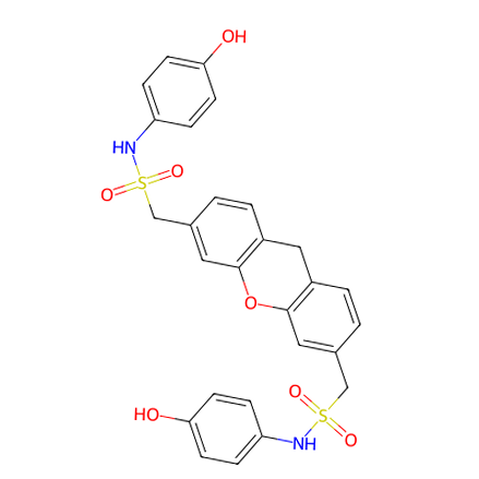 O=S(=O)(Cc1ccc2c(c1)Oc1cc(CS(=O)(=O)Nc3ccc(O)cc3)ccc1C2)Nc1ccc(O)cc1